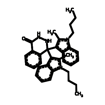 CCCCn1c(C)c(C2(c3c(C)n(CCCC)c4ccccc34)NNC(=O)c3ccccc32)c2ccccc21